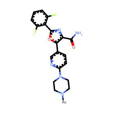 CC(=O)N1CCN(c2ccc(-c3oc(-c4c(F)cccc4F)nc3C(N)=O)cn2)CC1